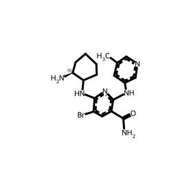 Cc1cncc(Nc2nc(NC3CCCC[C@@H]3N)c(Br)cc2C(N)=O)c1